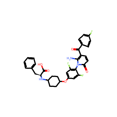 Nc1c(C(=O)c2ccc(F)cc2)ccc(=O)n1-c1c(F)cc(OC2CCC(N[C@@H](Cc3ccccc3)C(=O)O)CC2)cc1F